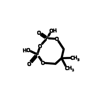 CC1(C)COP(=O)(O)OP(=O)(O)OC1